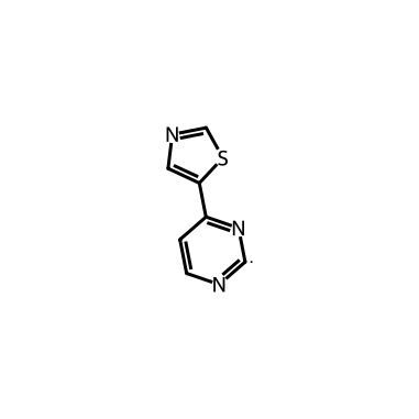 [c]1nccc(-c2cncs2)n1